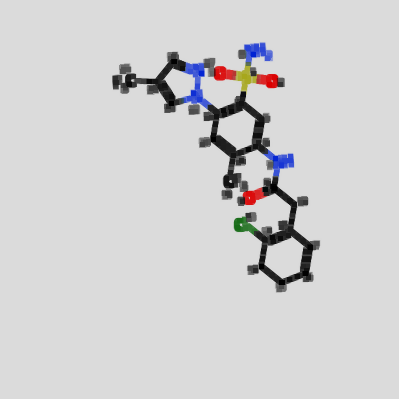 NS(=O)(=O)c1cc(NC(=O)CC2=C(Cl)CCC=C2)c(C(F)(F)F)cc1-n1cc(C(F)(F)F)cn1